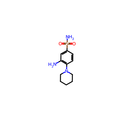 Nc1cc(S(N)(=O)=O)ccc1N1CCCCC1